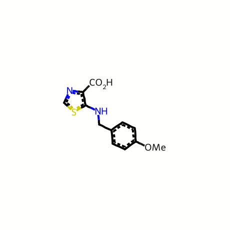 COc1ccc(CNc2scnc2C(=O)O)cc1